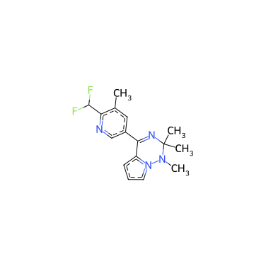 Cc1cc(C2=NC(C)(C)N(C)n3cccc32)cnc1C(F)F